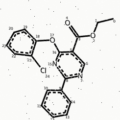 CCOC(=O)c1cnc(-c2ccccc2)nc1Oc1ccccc1Cl